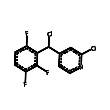 Fc1ccc(F)c(C(Cl)c2ccnc(Cl)c2)c1F